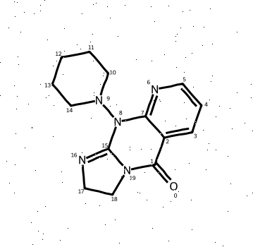 O=C1c2cccnc2N(N2CCCCC2)C2=NCCN12